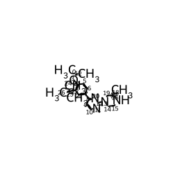 CC(C)Oc1ccc(-c2ccnc(N3CCN[C@H](C)C3)n2)cc1C(C)(C)C